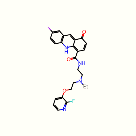 CCN(CCNC(=O)c1ccc(=O)c2cc3cc(I)ccc3[nH]c1-2)CCOc1cccnc1F